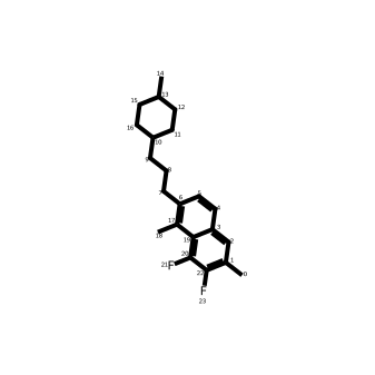 Cc1cc2ccc(CCCC3CCC(C)CC3)c(C)c2c(F)c1F